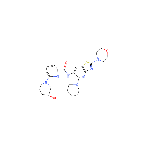 O=C(Nc1cc2sc(N3CCOCC3)nc2nc1N1CCCCC1)c1cccc(N2CCC[C@H](O)C2)n1